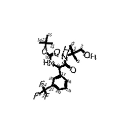 CC(C)(CO)NC(=O)C(NC(=O)OC(C)(C)C)c1cccc(C(F)(F)F)c1